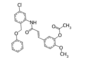 COc1ccc(/C=C/C(=O)Nc2cc(Cl)ccc2COc2ccccc2)cc1OC(C)=O